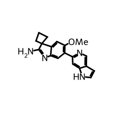 COc1cc2c(cc1-c1cc3[nH]ccc3cn1)N=C(N)C21CCC1